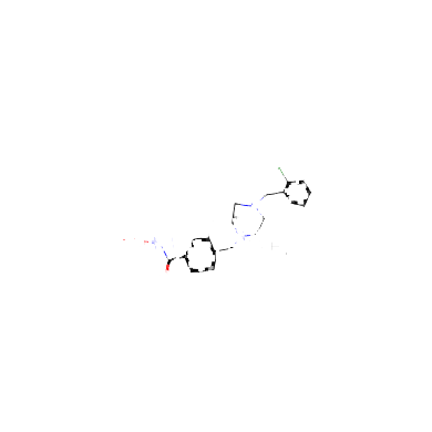 C[C@@H]1CN(Cc2ccccc2Cl)C[C@H](C)N1Cc1ccc(C(=O)NO)cc1